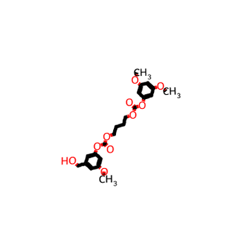 COc1cc(CO)cc(OC(=O)OCCCCOC(=O)Oc2cc(OC)cc(OC)c2)c1